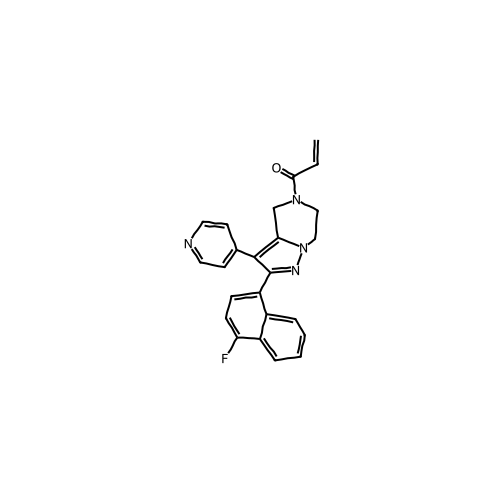 C=CC(=O)N1CCn2nc(-c3ccc(F)c4ccccc34)c(-c3ccncc3)c2C1